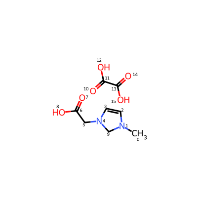 CN1C=CN(CC(=O)O)C1.O=C(O)C(=O)O